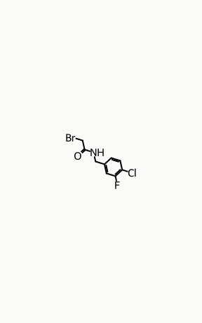 O=C(CBr)NCc1ccc(Cl)c(F)c1